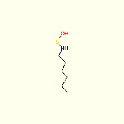 CCCCCCNSO